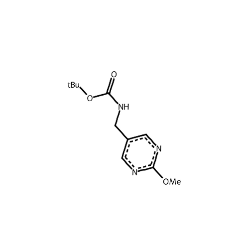 COc1ncc(CNC(=O)OC(C)(C)C)cn1